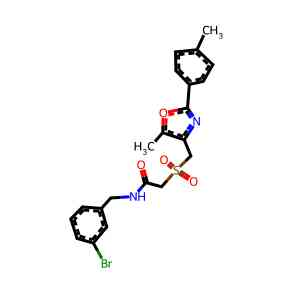 Cc1ccc(-c2nc(CS(=O)(=O)CC(=O)NCc3cccc(Br)c3)c(C)o2)cc1